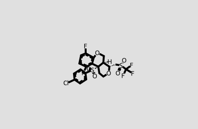 O=S(=O)(C[C@@H]1OCC[C@@]2(S(=O)(=O)c3ccc(Cl)cc3)c3c(F)ccc(F)c3OC[C@@H]12)C(F)(F)F